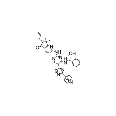 C=CCN1C(=O)c2ccc(Nc3ncc(-c4nc(C56CCN(CC5)CC6)no4)c(N[C@H](CO)c4ccccc4)n3)nc2C1(C)C